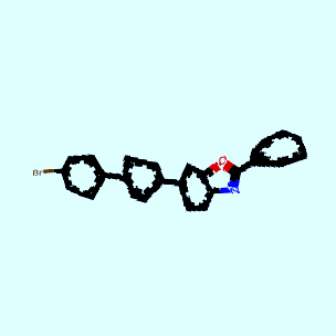 Brc1ccc(-c2ccc(-c3ccc4nc(-c5ccccc5)oc4c3)cc2)cc1